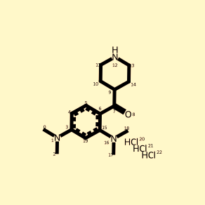 CN(C)c1ccc(C(=O)C2CCNCC2)c(N(C)C)c1.Cl.Cl.Cl